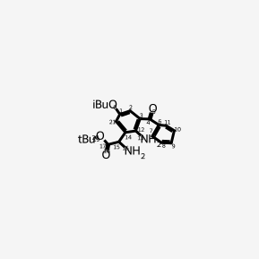 CC(C)COc1cc(C(=O)c2ccccc2)c(N)c(C(N)C(=O)OC(C)(C)C)c1